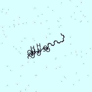 CC/C=C\C/C=C\C/C=C\C/C=C\C/C=C\C/C=C\CC(=O)OSCCNC(=O)CCNC(=O)[C@H](O)C(C)(C)CC